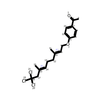 CC(=O)c1ccc(OC/C=C(\C)CC/C=C(\C)CC(Cl)(Cl)Cl)cc1